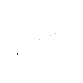 C[C@@H]1NC(=S)N[C@@H]1CCCCCC(=O)NCCOCCOCCOCCO